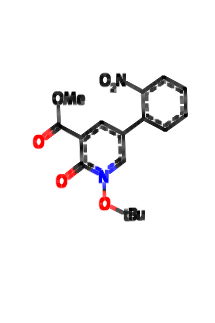 COC(=O)c1cc(-c2ccccc2[N+](=O)[O-])cn(OC(C)(C)C)c1=O